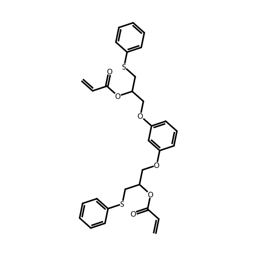 C=CC(=O)OC(COc1cccc(OCC(CSc2ccccc2)OC(=O)C=C)c1)CSc1ccccc1